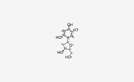 OCC1OC(c2nc(Cl)c(O)nc2O)CC1O